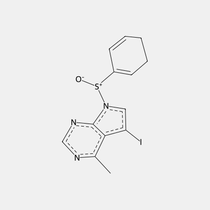 Cc1ncnc2c1c(I)cn2[S+]([O-])C1=CCCC=C1